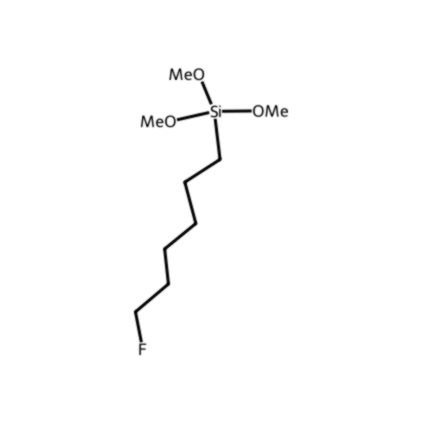 CO[Si](CCCCCCF)(OC)OC